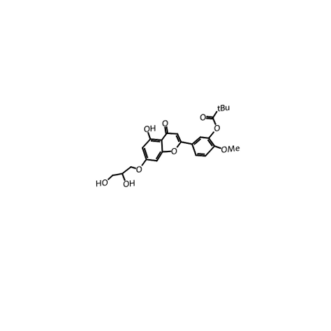 COc1ccc(-c2cc(=O)c3c(O)cc(OCC(O)CO)cc3o2)cc1OC(=O)C(C)(C)C